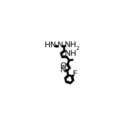 CC(c1ccc(/C(N)=N\C=N)[nH]1)c1cc(-c2ccccc2F)no1